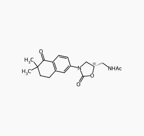 CC(=O)NC[C@H]1CN(c2ccc3c(c2)CCC(C)(C)C3=O)C(=O)O1